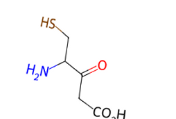 NC(CS)C(=O)CC(=O)O